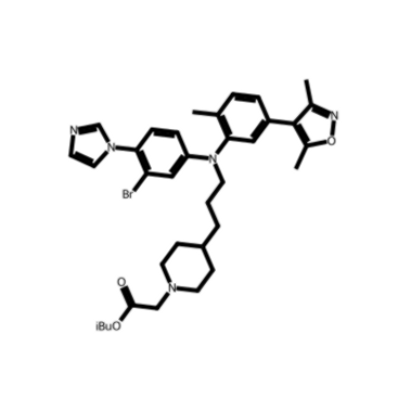 Cc1ccc(-c2c(C)noc2C)cc1N(CCCC1CCN(CC(=O)OCC(C)C)CC1)c1ccc(-n2ccnc2)c(Br)c1